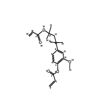 C=CC(=O)Oc1ccc(C(C)(C)CC(C)(C)OC(=O)C=C)cc1OC